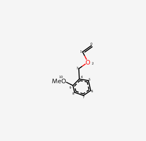 C=COCc1ccccc1OC